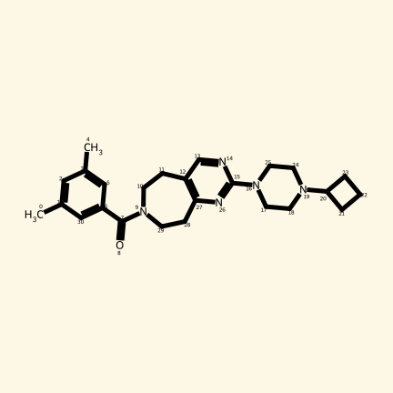 Cc1cc(C)cc(C(=O)N2CCc3cnc(N4CCN(C5CCC5)CC4)nc3CC2)c1